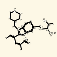 C/C=C(\C=C(\C)C(=O)C(C)C)c1nc2cc(CN[C@H](C(=O)O)C(C)O)ccc2n1CC1CCOCC1